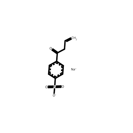 C=CCC(=O)c1ccc(S(=O)(=O)[O-])cc1.[Na+]